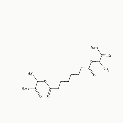 COC(=O)C(C)OC(=O)CCCCCCC(=O)OC(C)C(=O)OC